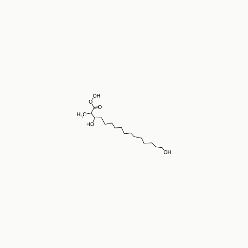 CC(C(=O)OO)C(O)CCCCCCCCCCCCCO